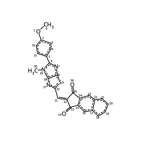 COc1ccc(-c2nc3sc(C=C4C(=O)c5cc6ccccc6cc5C4=O)nc3n2C)cc1